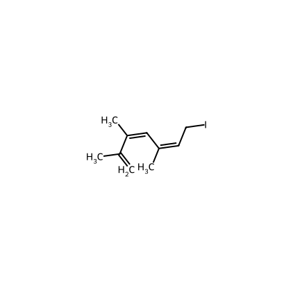 C=C(C)/C(C)=C\C(C)=C/CI